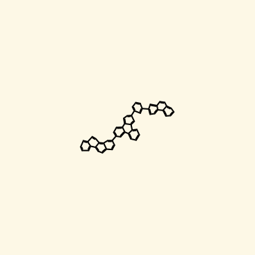 c1cc(-c2ccc3c(ccc4ccccc43)c2)cc(-c2ccc3c4ccc(-c5ccc6ccc7c8ccccc8ccc7c6c5)cc4c4ccccc4c3c2)c1